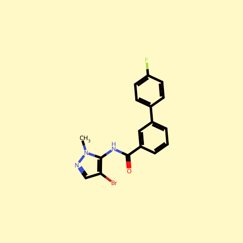 Cn1ncc(Br)c1NC(=O)c1cccc(-c2ccc(F)cc2)c1